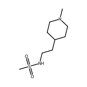 CN1CCC(CCNS(C)(=O)=O)CC1